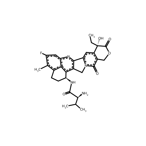 CC[C@@]1(O)C(=O)OCc2c1cc1n(c2=O)Cc2c-1nc1cc(F)c(C)c3c1c2[C@@H](NC(=O)[C@@H](N)C(C)C)CC3